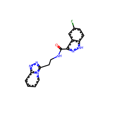 O=C(NCCc1nnc2ccccn12)c1n[nH]c2ccc(F)cc12